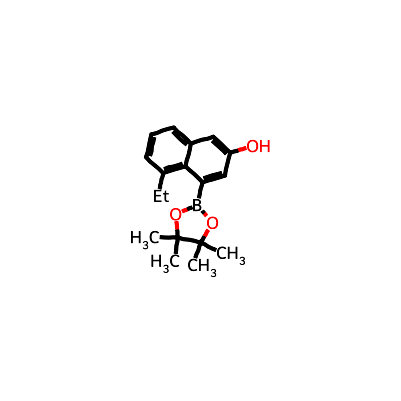 CCc1cccc2cc(O)cc(B3OC(C)(C)C(C)(C)O3)c12